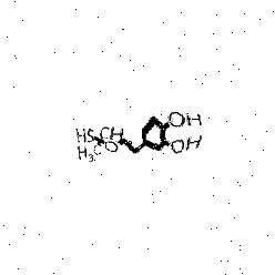 CC(C)(S)OCCc1ccc(O)c(O)c1